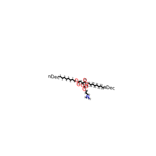 CCCCCCCCCCCCCCCCCCOC(=O)C[C@H](OC(=O)OCCCN(C)C)C(=O)OCCCCCCCCCCCCCCCCCC